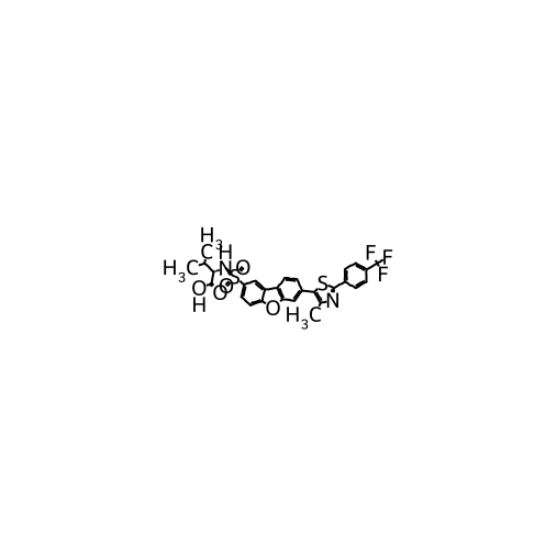 Cc1nc(-c2ccc(C(F)(F)F)cc2)sc1-c1ccc2c(c1)oc1ccc(S(=O)(=O)N[C@@H](C(=O)O)C(C)C)cc12